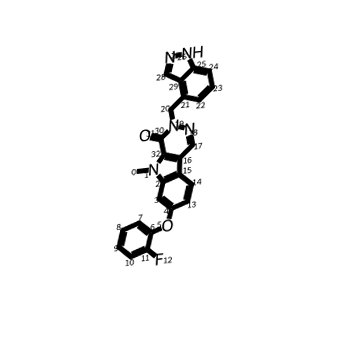 Cn1c2cc(Oc3ccccc3F)ccc2c2cnn(Cc3cccc4[nH]ncc34)c(=O)c21